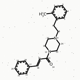 Cc1ccccc1CCN1CCN(C(=O)/C=C/c2ccccc2)CC1